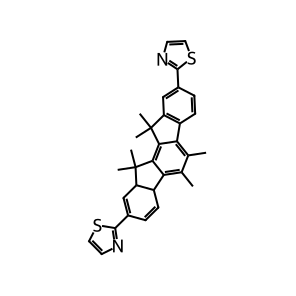 Cc1c(C)c2c(c3c1-c1ccc(-c4nccs4)cc1C3(C)C)C(C)(C)C1C=C(c3nccs3)C=CC21